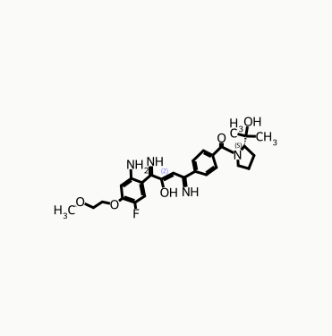 COCCOc1cc(N)c(C(=N)/C(O)=C/C(=N)c2ccc(C(=O)N3CCC[C@H]3C(C)(C)O)cc2)cc1F